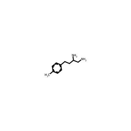 Cc1ccc(CCC(N)CN)cc1